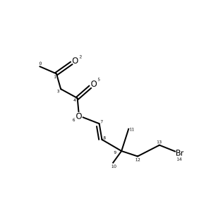 CC(=O)CC(=O)OC=CC(C)(C)CCBr